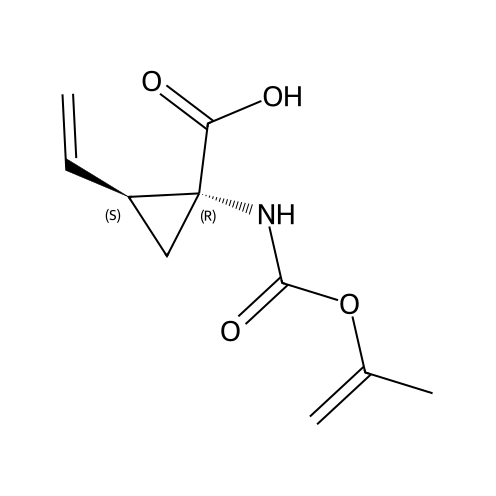 C=C[C@@H]1C[C@]1(NC(=O)OC(=C)C)C(=O)O